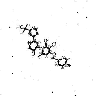 Cc1cnc(-c2ccnc(C(C)(C)O)n2)cc1-n1c(C)cc(OCc2ccc(F)cn2)c(Cl)c1=O